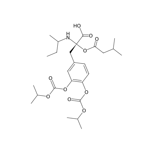 CCC(C)N[C@@](Cc1ccc(OC(=O)OC(C)C)c(OC(=O)OC(C)C)c1)(OC(=O)CC(C)C)C(=O)O